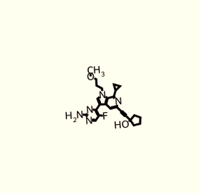 COCCCn1cc(-c2nc(N)ncc2F)c2cc(C#CC3(O)CCCC3)nc(C3CC3)c21